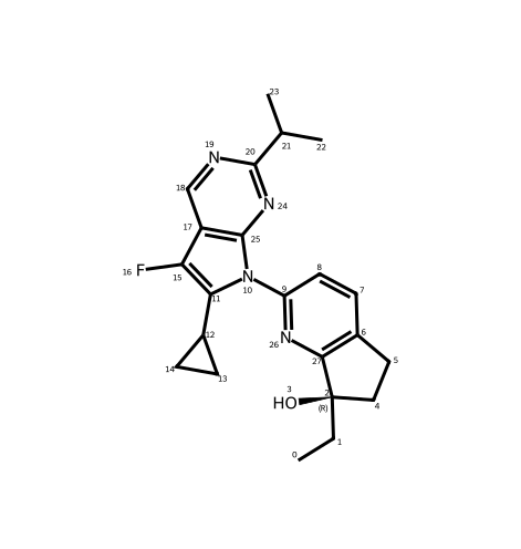 CC[C@@]1(O)CCc2ccc(-n3c(C4CC4)c(F)c4cnc(C(C)C)nc43)nc21